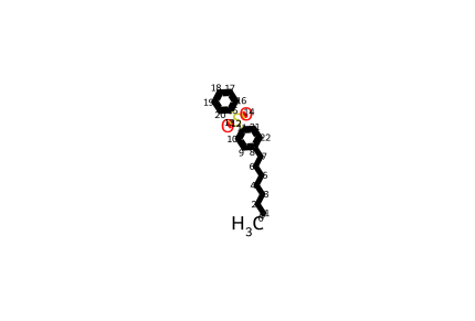 CCCCCCCCc1ccc(S(=O)(=O)c2ccccc2)cc1